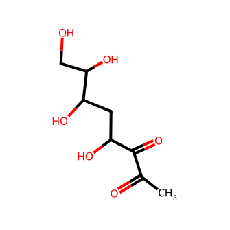 CC(=O)C(=O)C(O)CC(O)C(O)CO